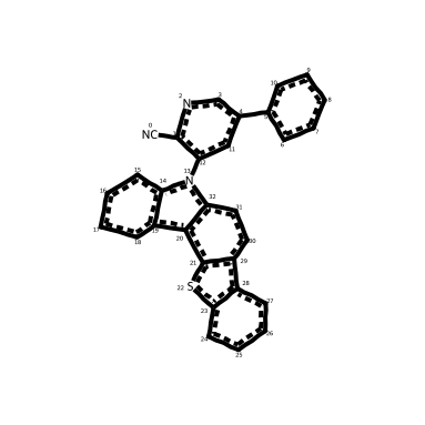 N#Cc1ncc(-c2ccccc2)cc1-n1c2ccccc2c2c3sc4ccccc4c3ccc21